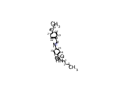 CCCCNS(=O)(=O)c1ccc(/N=C/c2ccc(OCC)cc2)cc1